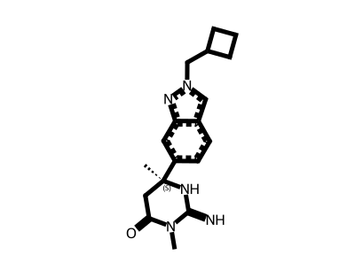 CN1C(=N)N[C@](C)(c2ccc3cn(CC4CCC4)nc3c2)CC1=O